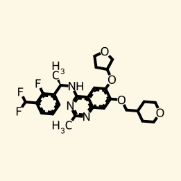 Cc1nc(N[C@H](C)c2cccc(C(F)F)c2F)c2cc(OC3CCOC3)c(OCC3CCOCC3)cc2n1